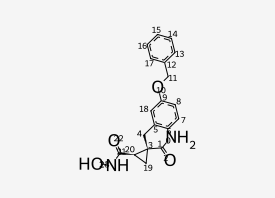 NC(=O)[C@]1(Cc2cccc(OCc3ccccc3)c2)C[C@H]1C(=O)NO